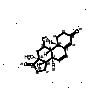 C[C@]12CC(F)[C@H]3[C@@H](C=CC4=CC(=O)CC[C@@H]43)[C@@H]1CCC2=O